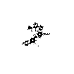 COc1cc(NC(=O)c2ccc(CN3CCN(C)CC3)c(C(F)(F)F)c2)cc(Nc2nccn2-c2cc(NC3CC3)ncn2)c1